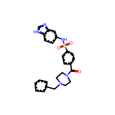 O=C(c1ccc(S(=O)(=O)Nc2ccc3[nH]cnc3c2)cc1)N1CCN(Cc2ccccc2)CC1